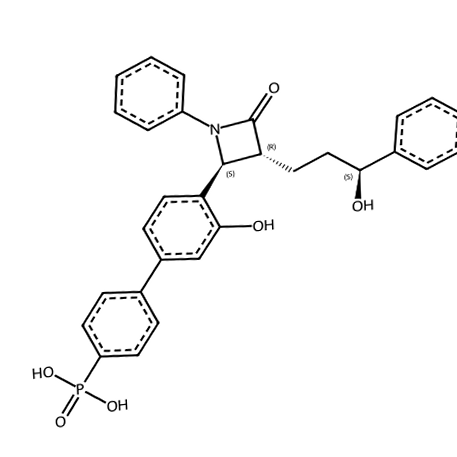 O=C1[C@H](CC[C@H](O)c2ccccc2)[C@@H](c2ccc(-c3ccc(P(=O)(O)O)cc3)cc2O)N1c1ccccc1